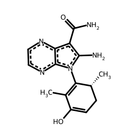 CC1=C(n2c(N)c(C(N)=O)c3nccnc32)[C@H](C)CC=C1O